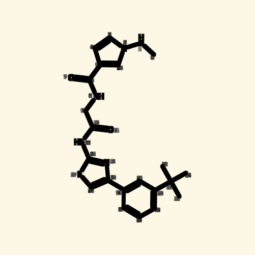 CNn1ccc(C(=O)NCC(=O)Nc2nc(-c3cccc(C(C)(C)C)c3)cs2)c1